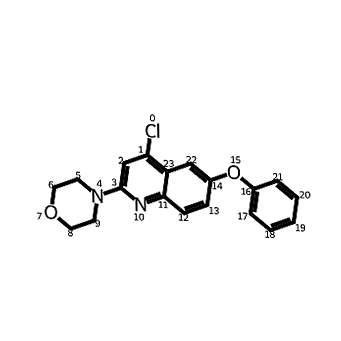 Clc1cc(N2CCOCC2)nc2ccc(Oc3ccccc3)cc12